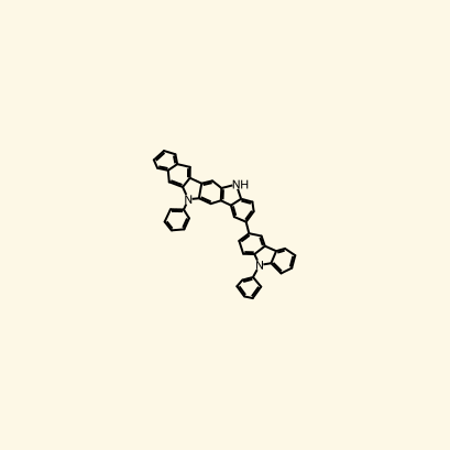 c1ccc(-n2c3ccccc3c3cc(-c4ccc5[nH]c6cc7c8cc9ccccc9cc8n(-c8ccccc8)c7cc6c5c4)ccc32)cc1